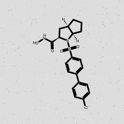 O=C(NO)[C@H]1C[C@H]2CCC[C@H]2N1S(=O)(=O)c1ccc(-c2ccc(Cl)cc2)cc1